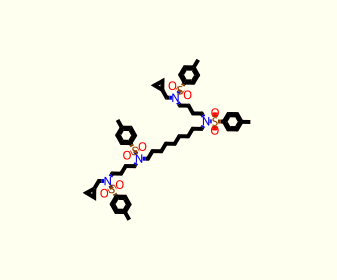 Cc1ccc(S(=O)(=O)N(CCCCCCCCCN(CCCCN(CC2CC2)S(=O)(=O)c2ccc(C)cc2)S(=O)(=O)c2ccc(C)cc2)CCCCN(CC2CC2)S(=O)(=O)c2ccc(C)cc2)cc1